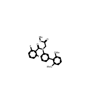 COc1cccc(OC)c1-c1cccc(N(CC(=O)OC(C)(C)C)C(=O)c2c(F)cccc2F)c1